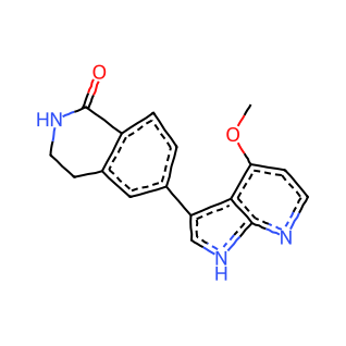 COc1ccnc2[nH]cc(-c3ccc4c(c3)CCNC4=O)c12